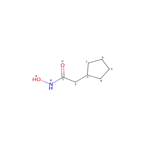 O=C(CC1CCCC1)NO